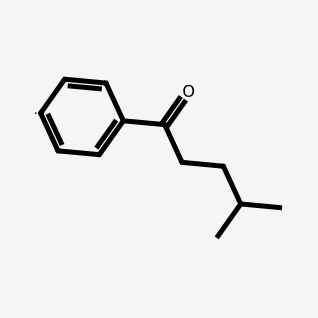 CC(C)CCC(=O)c1cc[c]cc1